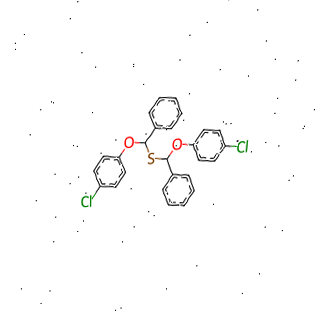 Clc1ccc(OC(SC(Oc2ccc(Cl)cc2)c2ccccc2)c2ccccc2)cc1